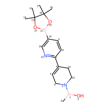 CB(O)N1CC=C(c2ccc(B3OC(C)(C)C(C)(C)O3)cn2)CC1